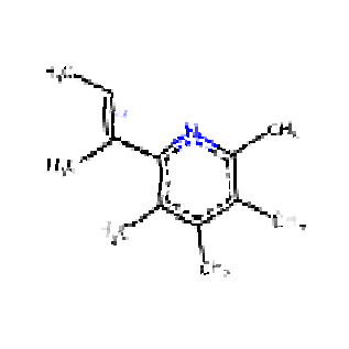 C/C=C(\C)c1nc(C)c(C)c(C)c1C